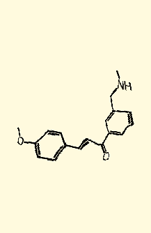 CNCc1cccc(C(=O)/C=C/c2ccc(OC)cc2)c1